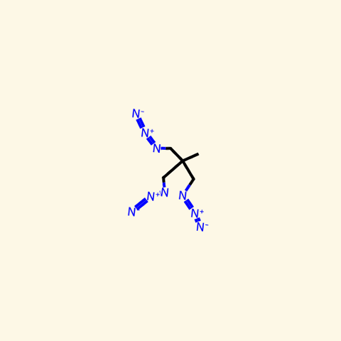 CC(CN=[N+]=[N-])(CN=[N+]=[N-])CN=[N+]=[N-]